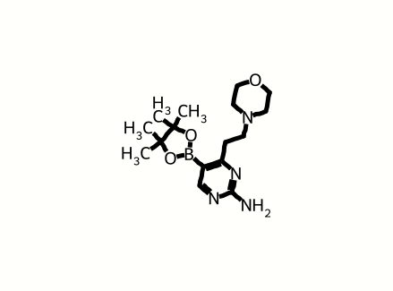 CC1(C)OB(c2cnc(N)nc2CCN2CCOCC2)OC1(C)C